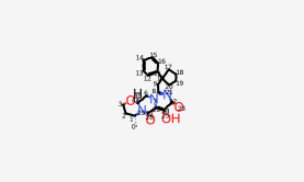 C[C@@H]1CCO[C@H]2Cn3c(CC4(c5ccccc5)CCCC4)nc(=O)c(O)c3C(=O)N12